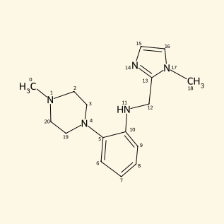 CN1CCN(c2ccccc2NCc2nccn2C)CC1